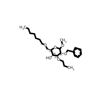 CCCCCCCOC[C@H]1OC(OC)[C@H](OCc2ccccc2)[C@@H](OCCC)[C@@H]1O